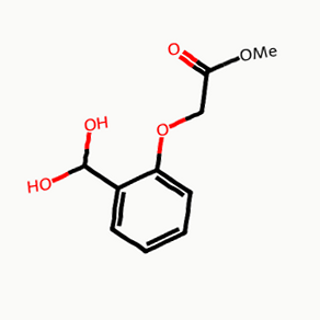 COC(=O)COc1ccccc1C(O)O